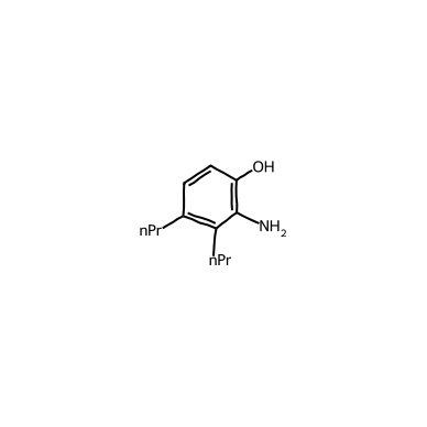 CCCc1ccc(O)c(N)c1CCC